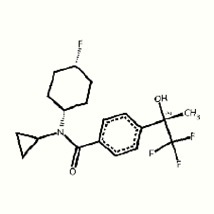 C[C@](O)(c1ccc(C(=O)N(C2CC2)[C@H]2CC[C@@H](F)CC2)cc1)C(F)(F)F